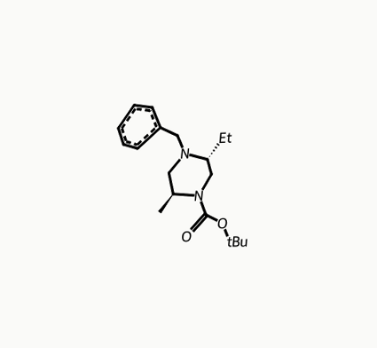 CC[C@@H]1CN(C(=O)OC(C)(C)C)[C@@H](C)CN1Cc1ccccc1